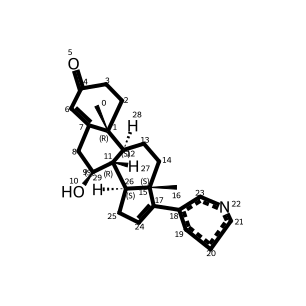 C[C@]12CCC(=O)C=C1C[C@H](O)[C@@H]1[C@@H]2CC[C@]2(C)C(c3cccnc3)=CC[C@@H]12